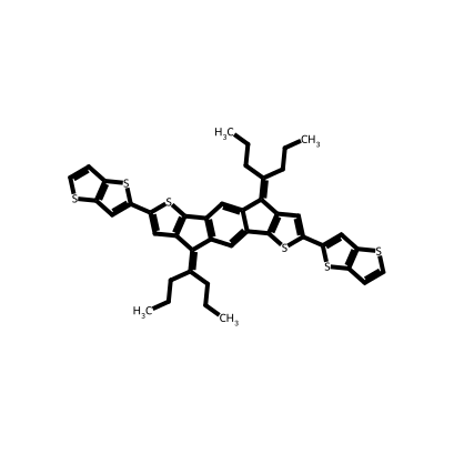 CCCC(CCC)=C1c2cc3c(cc2-c2sc(-c4cc5sccc5s4)cc21)C(=C(CCC)CCC)c1cc(-c2cc4sccc4s2)sc1-3